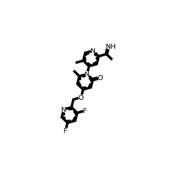 CC(=N)c1cc(-n2c(C)cc(OCc3ncc(F)cc3F)cc2=O)c(C)cn1